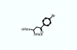 CCCCCCC(CCCCCC)CC(=O)c1ccc(Br)cc1